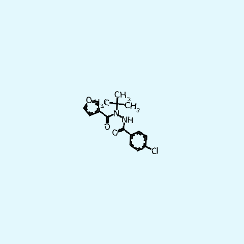 CC(C)(C)N(NC(=O)c1ccc(Cl)cc1)C(=O)c1ccoc1